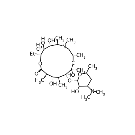 CC[C@H]1OC(=O)[C@H](C)[C@@H](O)[C@H](C)[C@@H](O[C@@H]2OC(C)CC(N(C)C)C2O)[C@](C)(O)C[C@@H](C)CN(C)[C@H](C)[C@@H](O)[C@]1(C)O